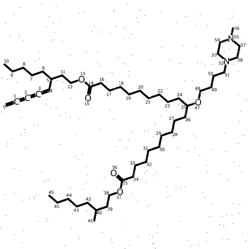 C=C=C=C=CC(CCCCC)CCOC(=O)CCCCCCCCCC(CCCCCCCCCC(=O)OCCC(C)CCCCC)OCCCCN1CCN(C)CC1